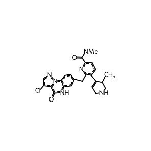 CNC(=O)c1ccc(C2=CCNCC2C)c(Cc2ccc3c(c2)[nH]c(=O)c2c(Cl)cnn23)n1